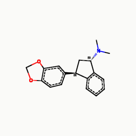 CN(C)[C@H]1C[C@H](c2ccc3c(c2)OCO3)c2ccccc21